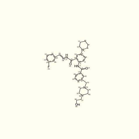 O=C(Nc1ccc(N2CCCCC2)cc1C(=O)N/N=C/c1cccc(F)c1)c1cccc(CN2CCN(CCO)CC2)c1